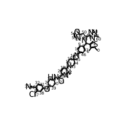 Cc1sc2c(c1C)C(c1ccc(N3CC4(CCN(c5ccc(C(=O)NC6CCC(Oc7ccc(C#N)c(Cl)c7)CC6)nn5)CC4)C3)cc1)=N[C@@H](Cc1ncco1)c1nnc(C)n1-2